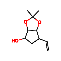 C=CC1CC(O)C2OC(C)(C)OC12